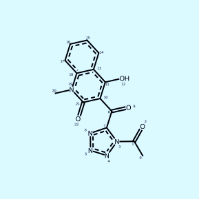 CC(=O)n1nnnc1C(=O)c1c(O)c2ccccc2n(C)c1=O